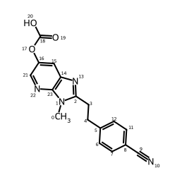 Cn1c(CCc2ccc(C#N)cc2)nc2cc(OC(=O)O)cnc21